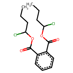 CCCC(Cl)OC(=O)c1ccccc1C(=O)OC(Cl)CCC